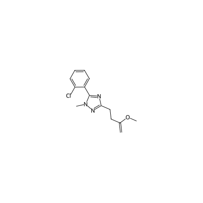 C=C(CCc1nc(-c2ccccc2Cl)n(C)n1)OC